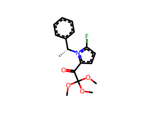 COC(OC)(OC)C(=O)c1ccc(F)n1[C@H](C)c1ccccc1